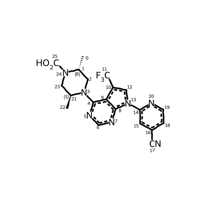 C[C@@H]1CN(c2ncnc3c2c(C(F)(F)F)cn3-c2cc(C#N)ccn2)[C@@H](C)CN1C(=O)O